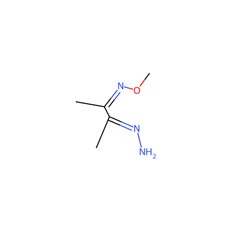 CON=C(C)C(C)=NN